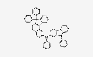 C1=CCC2C(=C1)N(c1ccccc1)c1cc(N(c3ccccc3)c3ccc4ccc5c(c4c3)-c3ccccc3C5(c3ccccc3)c3ccccc3)ccc12